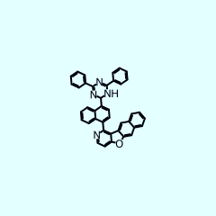 c1ccc(C2=NC(c3ccc(-c4nccc5oc6cc7ccccc7cc6c45)c4ccccc34)NC(c3ccccc3)=N2)cc1